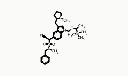 CC(OCn1cc(CC2CCCN2C)c2cc(C(C#N)S(=O)(=O)N(C)Cc3ccccc3)ccc21)[Si](C)(C)C